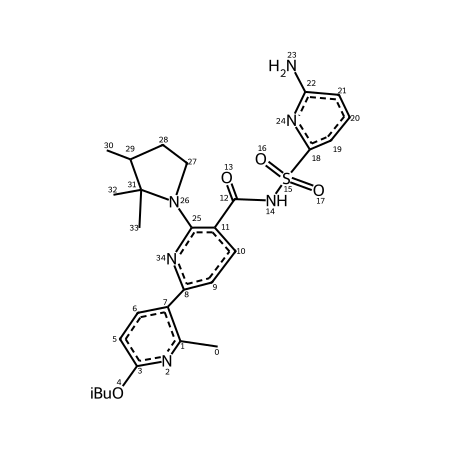 Cc1nc(OCC(C)C)ccc1-c1ccc(C(=O)NS(=O)(=O)c2cccc(N)n2)c(N2CCC(C)C2(C)C)n1